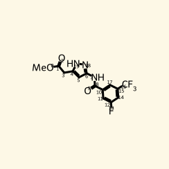 COC(=O)Cc1cc(NC(=O)c2cc(F)cc(C(F)(F)F)c2)n[nH]1